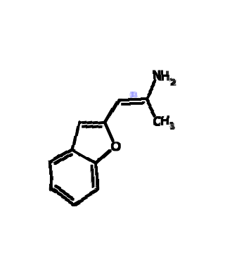 C/C(N)=C\c1cc2ccccc2o1